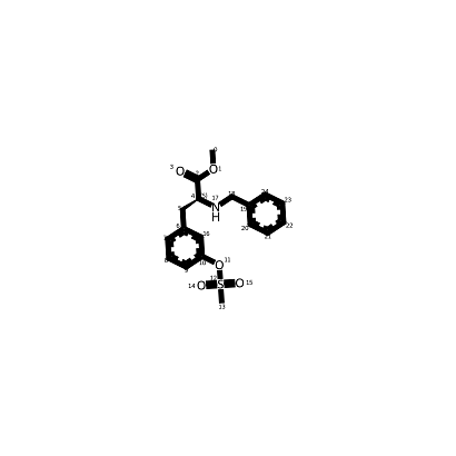 COC(=O)[C@H](Cc1cccc(OS(C)(=O)=O)c1)NCc1ccccc1